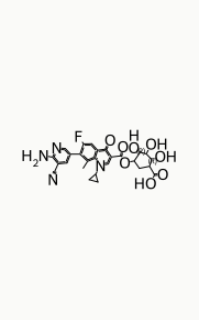 Cc1c(-c2cnc(N)c(C#N)c2)c(F)cc2c(=O)c(C(=O)OC3CC(C(=O)O)[C@@H](O)C(O)[C@H]3O)cn(C3CC3)c12